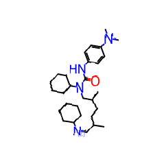 CC(/C=N\C1CCCCC1)CCC(C)CN(C(=O)Nc1ccc(N(C)C)cc1)C1CCCCC1